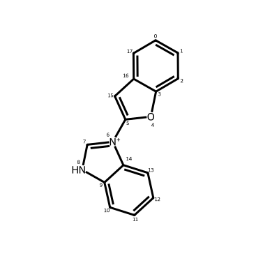 c1ccc2oc(-[n+]3c[nH]c4ccccc43)cc2c1